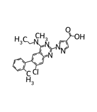 CCN(C)c1nc(-n2cc(C(=O)O)cn2)nc2cc(Cl)c(-c3ccccc3C)cc12